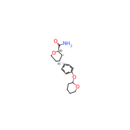 NC(=O)[C@H]1[C][C@H](c2ccc(OC3CCCCO3)cc2)CCO1